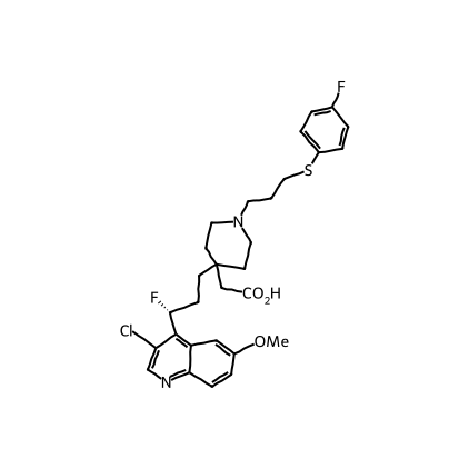 COc1ccc2ncc(Cl)c([C@H](F)CCC3(CC(=O)O)CCN(CCCSc4ccc(F)cc4)CC3)c2c1